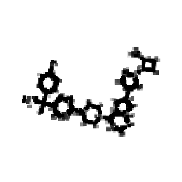 CC(N)(c1ccc(F)cc1)c1cnc(N2CCN(c3ncnn4cc(-c5cnn([C@H]6CC[C@@H]6O)c5)cc34)CC2)nc1